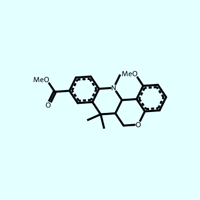 COC(=O)c1ccc2c(c1)C(C)(C)C1COc3cccc(OC)c3C1N2C